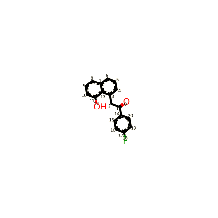 O=C(Cc1cccc2cccc(O)c12)c1ccc(F)cc1